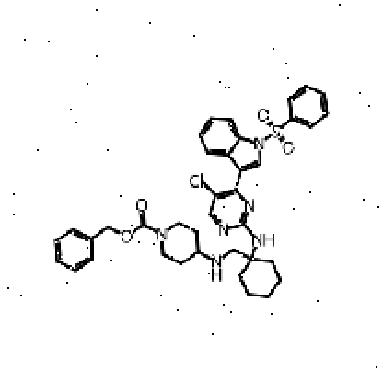 O=C(OCc1ccccc1)N1CCC(NCC2(Nc3ncc(Cl)c(-c4cn(S(=O)(=O)c5ccccc5)c5ccccc45)n3)CCCCC2)CC1